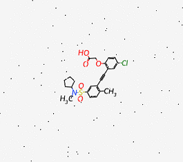 Cc1ccc(S(=O)(=O)N(C)C2CCCC2)cc1C#Cc1cc(Cl)ccc1OCC(=O)O